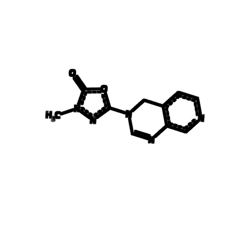 Cn1nc(N2C=Nc3cnccc3C2)oc1=O